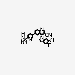 N#Cc1cnc2ccc(-c3ccc(-c4nnc[nH]4)nc3)cc2c1N1CCc2cc(F)c(Cl)cc21